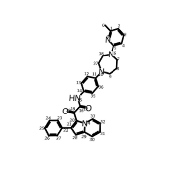 Cc1cccc(N2CCCN(c3ccc(NC(=O)C(=O)c4c(-c5ccccc5)cc5ccccn45)cc3)CC2)n1